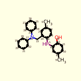 Cc1ccc(Pc2cc(C)ccc2O)c(CN(c2ccccc2)c2ccccc2)c1